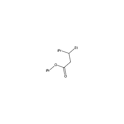 CCC(CC(=O)OC(C)C)C(C)C